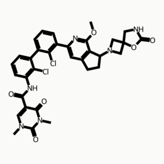 COc1nc(-c2cccc(-c3cccc(NC(=O)c4cn(C)c(=O)n(C)c4=O)c3Cl)c2Cl)cc2c1C(N1CC3(CNC(=O)O3)C1)CC2